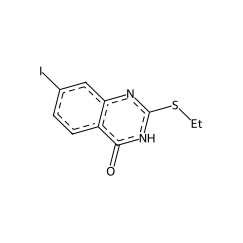 CCSc1nc2cc(I)ccc2c(=O)[nH]1